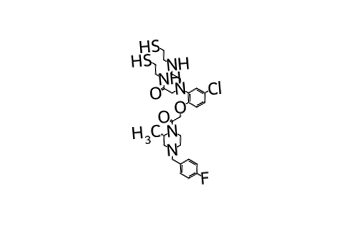 C[C@@H]1CN(Cc2ccc(F)cc2)CCN1C(=O)COc1ccc(Cl)cc1N(CCNCCS)CC(=O)NCCS